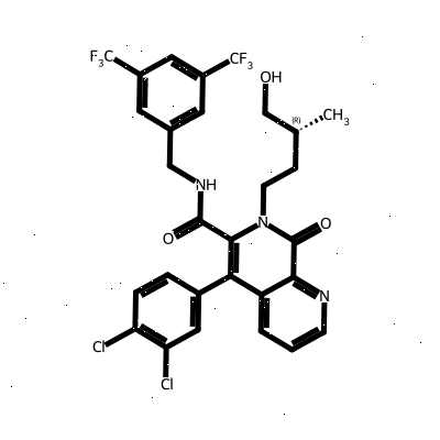 C[C@@H](CO)CCn1c(C(=O)NCc2cc(C(F)(F)F)cc(C(F)(F)F)c2)c(-c2ccc(Cl)c(Cl)c2)c2cccnc2c1=O